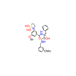 COc1cccc(CNC[C@H](O)[C@H](Cc2ccccc2)NC(=O)c2cc(OC(C)C)cc(N3CCCS3(O)O)c2)c1